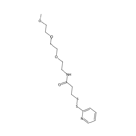 COCCOCCOCCNC(=O)CCSSc1ccccn1